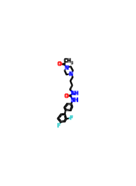 CC(=O)N1CCN(CCCCNC(=O)Nc2ccc(-c3ccc(F)cc3F)cc2)CC1